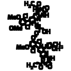 C=CC(=O)N[C@H]1COC[C@H]1Nc1ncc2cc(-c3c(Cl)c(OC)cc(OC)c3Cl)nc(N3CC(CO)(COCOc4cc(OC)c(Cl)c(-c5cc6cnc(N[C@@H]7COC[C@@H]7NC(=O)C=C)nc6c(N6CCC(C)(O)C6)n5)c4Cl)C3)c2n1